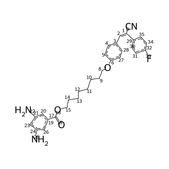 N#CC(=Cc1ccc(OCCCCCCCCOC(=O)c2cc(N)cc(N)c2)cc1)c1ccc(F)cc1